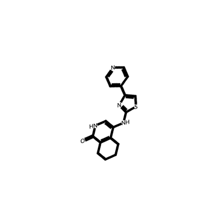 O=c1[nH]cc(Nc2nc(-c3ccncc3)cs2)c2c1CCCC2